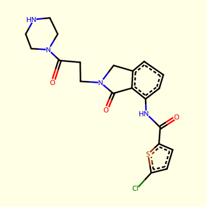 O=C(Nc1cccc2c1C(=O)N(CCC(=O)N1CCNCC1)C2)c1ccc(Cl)s1